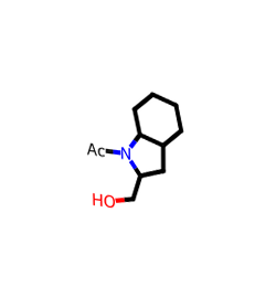 CC(=O)N1C(CO)CC2CCCCC21